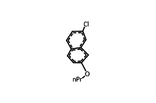 CCCOc1ccc2ccc(Cl)cc2c1